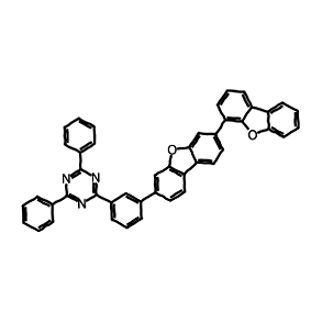 c1ccc(-c2nc(-c3ccccc3)nc(-c3cccc(-c4ccc5c(c4)oc4cc(-c6cccc7c6oc6ccccc67)ccc45)c3)n2)cc1